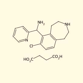 NC(c1ccccn1)c1c(Cl)ccc2c1CCNCC2.O=C(O)CCC(=O)O